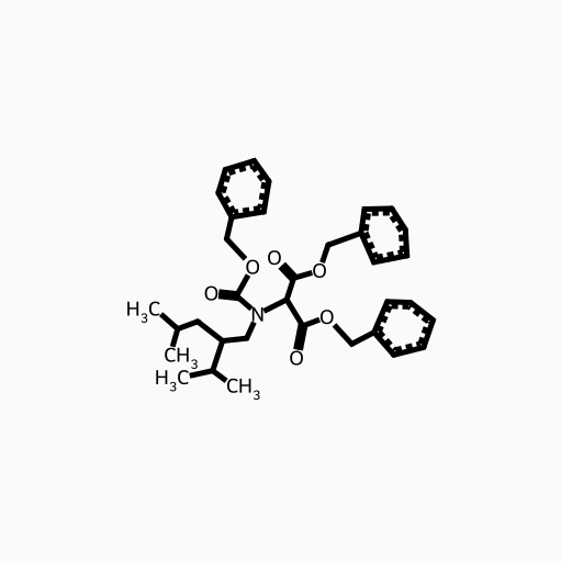 CC(C)CC(CN(C(=O)OCc1ccccc1)C(C(=O)OCc1ccccc1)C(=O)OCc1ccccc1)C(C)C